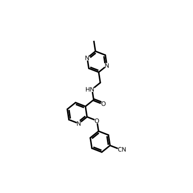 Cc1cnc(CNC(=O)c2cccnc2Oc2cccc(C#N)c2)cn1